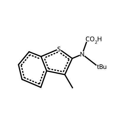 Cc1c(N(C(=O)O)C(C)(C)C)sc2ccccc12